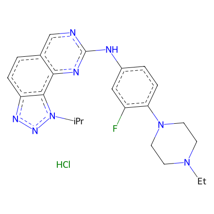 CCN1CCN(c2ccc(Nc3ncc4ccc5nnn(C(C)C)c5c4n3)cc2F)CC1.Cl